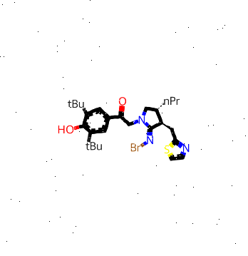 CCC[C@H]1CN(CC(=O)c2cc(C(C)(C)C)c(O)c(C(C)(C)C)c2)/C(=N\Br)[C@@H]1Cc1nccs1